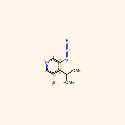 COC(OC)c1c(Br)cncc1N=[N+]=[N-]